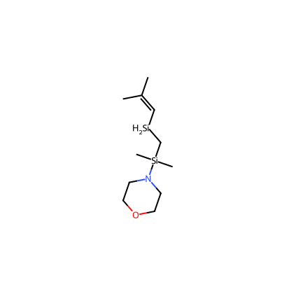 CC(C)=C[SiH2]C[Si](C)(C)N1CCOCC1